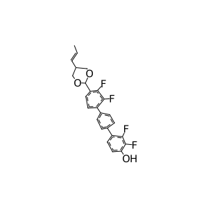 C/C=C/C1COC(c2ccc(-c3ccc(-c4ccc(O)c(F)c4F)cc3)c(F)c2F)OC1